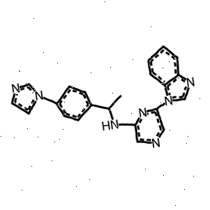 CC(Nc1cncc(-n2cnc3ccccc32)n1)c1ccc(-n2ccnc2)cc1